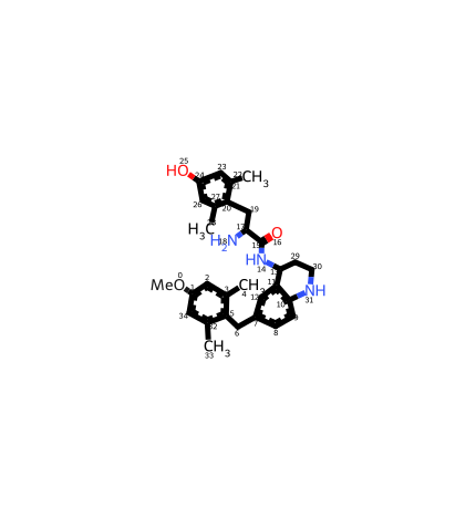 COc1cc(C)c(Cc2ccc3c(c2)C(NC(=O)C(N)Cc2c(C)cc(O)cc2C)CCN3)c(C)c1